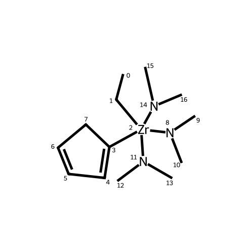 C[CH2][Zr]([C]1=CC=CC1)([N](C)C)([N](C)C)[N](C)C